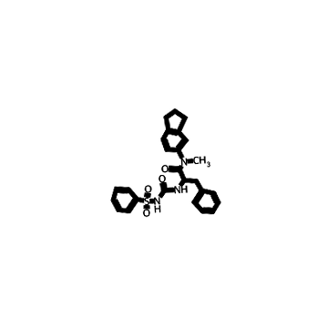 CN(C(=O)C(Cc1ccccc1)NC(=O)NS(=O)(=O)c1ccccc1)c1ccc2c(c1)CCC2